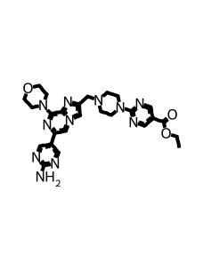 CCOC(=O)c1cnc(N2CCN(Cc3cn4cc(-c5cnc(N)nc5)nc(N5CCOCC5)c4n3)CC2)nc1